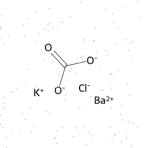 O=C([O-])[O-].[Ba+2].[Cl-].[K+]